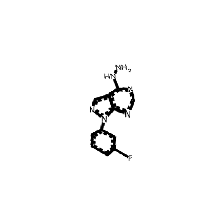 NNc1ncnc2c1cnn2-c1cccc(F)c1